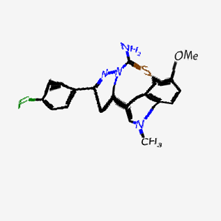 COc1ccc2c(c1)c(C1CC(c3ccc(F)cc3)=NN1C(N)=S)cn2C